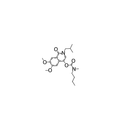 CCCCN(C)C(=O)Oc1cn(CC(C)C)c(=O)c2cc(OC)c(OC)cc12